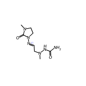 CN(C/C=N/N1CCN(C)C1=O)NC(N)=O